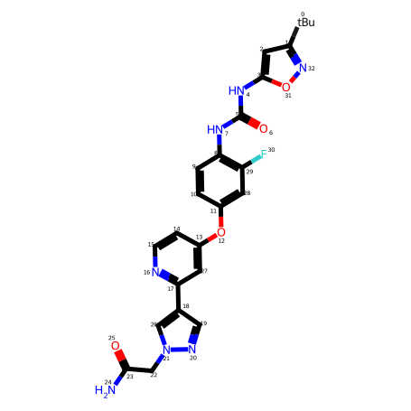 CC(C)(C)c1cc(NC(=O)Nc2ccc(Oc3ccnc(-c4cnn(CC(N)=O)c4)c3)cc2F)on1